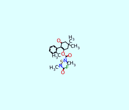 Cc1ccccc1C1=C(OC(=O)N(C)SN(C)C(=O)F)CC(C)(C)CC1=O